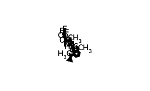 CC(C)c1cccc([C@H](C)C2CC2)c1OCCCC(C)[C@H](N)C(=O)OC(=O)C(F)(F)F